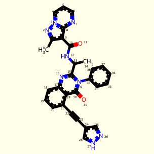 Cc1nn2cccnc2c1C(=O)NC(C)c1nc2cccc(C#Cc3cn[nH]c3)c2c(=O)n1-c1ccccc1